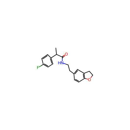 CC(C(=O)NCCc1ccc2c(c1)CCO2)c1ccc(F)cc1